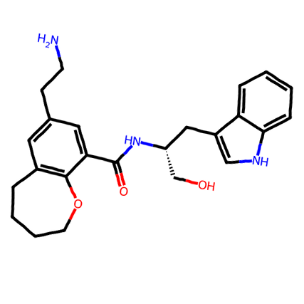 NCCc1cc2c(c(C(=O)N[C@@H](CO)Cc3c[nH]c4ccccc34)c1)OCCCC2